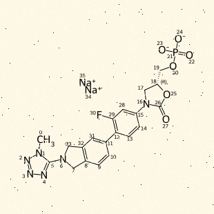 Cn1nnnc1N1Cc2ccc(-c3ccc(N4C[C@H](COP(=O)([O-])[O-])OC4=O)cc3F)cc2C1.[Na+].[Na+]